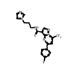 O=C(NCCCn1ccnc1)c1cnn2c(C(F)(F)F)cc(-c3ccc(F)cc3)nc12